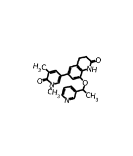 Cc1cc(-c2cc3c(c(OC(C)c4cccnc4)c2)NC(=O)CC3)cn(C)c1=O